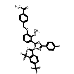 COc1c(OCc2ccc(C(C)=O)cc2)cccc1C1SC(c2ccc(F)cc2)=NN1C(=O)c1ccc(C(F)(F)F)cc1C(F)(F)F